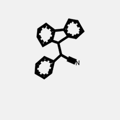 N#CC(c1ccccc1)C1c2ccccc2-c2ccccc21